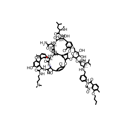 CCCCOc1c(C)ccc(C(=O)Nc2cccc(CN[C@@](C)(C[C@H](O)O[C@H]3C(Oc4c5cc6cc4Oc4ccc(cc4Cl)[C@@H](O)[C@@H](NC(=O)C(CC(C)C)NC)C(=O)N[C@@H](CC(N)=O)C(=O)N[C@H]6C(=O)N[C@H]4C(=O)/N=C(/C(=O)N[C@@H](C(=O)NCCCN(C)C)c6cc(O)cc(O)c6-c6cc4ccc6I)C(O)c4ccc(c(Cl)c4)O5)OC(CO)[C@H](O)C3O)[C@@H](O)C(C)I)c2)c1[N+](=O)[O-]